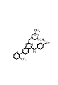 CC(C)c1ccc(Nc2nc(CN3C[C@@H](C)O[C@H](C)C3)nc3cc(-c4ncccc4C(F)(F)F)ccc23)cc1